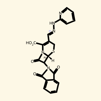 O=C(O)C1=C(/C=N/Nc2ccccn2)CS[C@@H]2C(N3C(=O)c4ccccc4C3=O)C(=O)N12